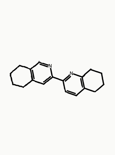 [c]1nc(-c2ccc3c(n2)CCCC3)cc2c1CCCC2